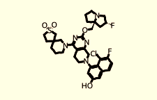 O=S1(=O)CCC2(CCCN(c3nc(OC[C@@]45CCCN4C[C@H](F)C5)nc4c3CCN(c3cc(O)cc5ccc(F)c(Cl)c35)C4)C2)C1